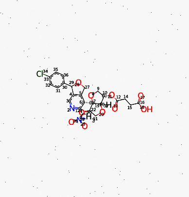 Cc1ncc2c(c1[C@]13OC[C@H](OC(=O)CCC(=O)O)[C@H]1OC[C@H]3O[N+](=O)[O-])COC2c1ccc(Cl)cc1